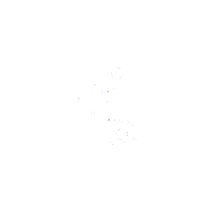 CC(C)OC(=O)[C@@H](C)N[P@@](=O)(OC[C@H]1O[C@@H](n2cnc3c(NC4CC4)nc(N)nc32)[C@@](F)(C(F)(F)F)[C@@H]1O)Oc1ccccc1